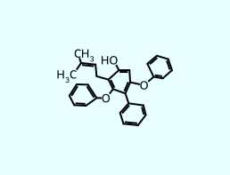 CC(C)=CCc1c(O)cc(Oc2ccccc2)c(-c2ccccc2)c1Oc1ccccc1